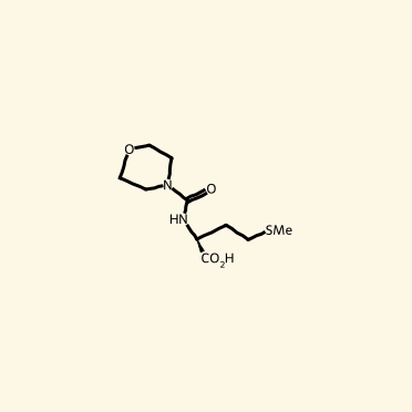 CSCC[C@H](NC(=O)N1CCOCC1)C(=O)O